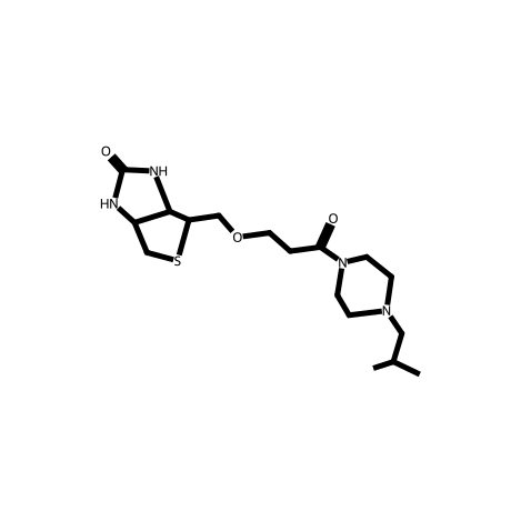 CC(C)CN1CCN(C(=O)CCOCC2SCC3NC(=O)NC32)CC1